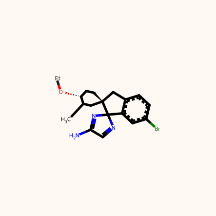 CCO[C@@H]1CC[C@]2(Cc3ccc(Br)cc3C23N=CC(N)=N3)CC1C